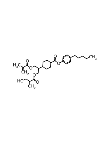 C=C(C)C(=O)OCC(COC(=O)C(=C)CO)C1CCC(C(=O)Oc2ccc(CCCCC)cc2)CC1